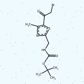 Cc1nc(CNC(=O)OC(C)(C)C)sc1C(=O)CBr